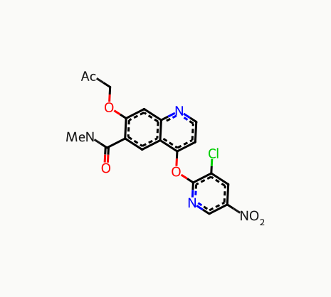 CNC(=O)c1cc2c(Oc3ncc([N+](=O)[O-])cc3Cl)ccnc2cc1OCC(C)=O